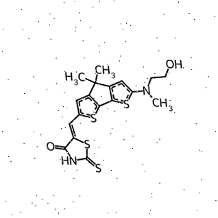 CN(CCO)c1cc2c(s1)-c1sc(/C=C3\SC(=S)NC3=O)cc1C2(C)C